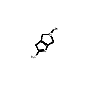 CC1=NC2=C(C1)CN(C(C)(C)C)C2